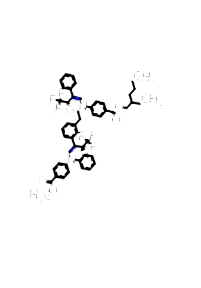 CCCCC(CC)COC(=O)c1ccc(N(/C=C(\C(=O)C(F)(F)F)c2ccccc2)CCc2cccc(/C(=C/N(c3ccccc3)c3ccc(C(=O)OC)cc3)C(=O)C(F)(F)F)c2)cc1